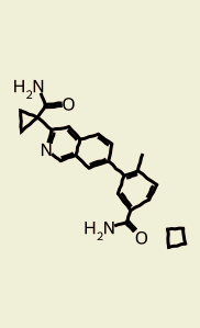 C1CCC1.Cc1ccc(C(N)=O)cc1-c1ccc2cc(C3(C(N)=O)CC3)ncc2c1